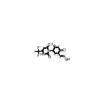 CC(F)(F)c1cc(=O)n(-c2cc(/C=N/O)c(Cl)cc2F)c(=O)[nH]1